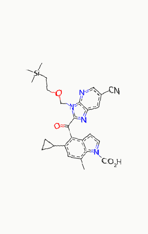 Cc1cc(C2CC2)c(C(=O)c2nc3cc(C#N)cnc3n2COCC[Si](C)(C)C)c2ccn(C(=O)O)c12